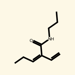 C=C/C(=C/CC)C(=O)NCCC